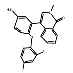 Cn1cc(-c2cc(N)ccc2Oc2ccc(F)cc2F)c2ccccc2c1=O